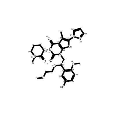 COCCO[C@@H](Cn1c(=O)n([C@H]2CCCN(C)C2=O)c(=O)c2c(C)c(-n3cccn3)sc21)c1cc(F)ccc1OC